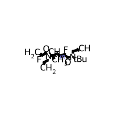 C#CCN(C(=O)/C(F)=C/CC(C)(C)N(CC=C)C(=O)C(=C)F)C(C)(C)C